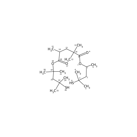 CC(CC(C)(C)S)OC(=O)C(C)(C)CC(C)C(=O)OC(C)(C)CC(C)(C)S